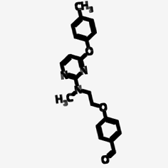 Cc1ccc(Oc2ccnc(N(C)CCOc3ccc(C=O)cc3)n2)cc1